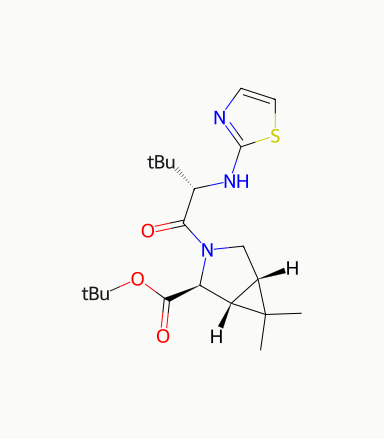 CC(C)(C)OC(=O)[C@@H]1[C@@H]2[C@H](CN1C(=O)[C@@H](Nc1nccs1)C(C)(C)C)C2(C)C